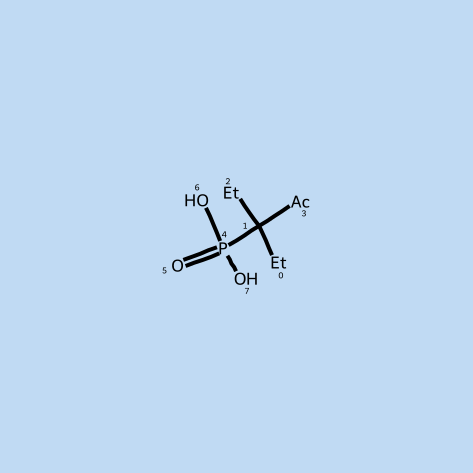 CCC(CC)(C(C)=O)P(=O)(O)O